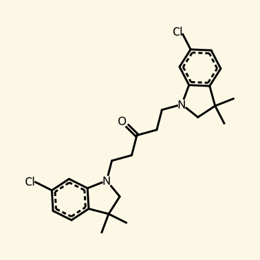 CC1(C)CN(CCC(=O)CCN2CC(C)(C)c3ccc(Cl)cc32)c2cc(Cl)ccc21